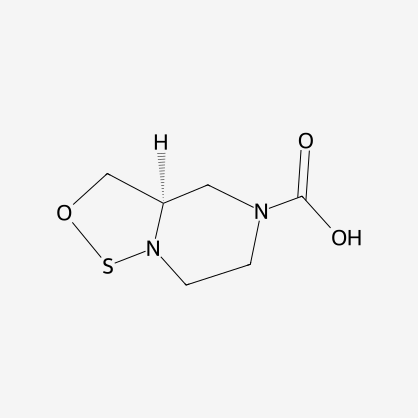 O=C(O)N1CCN2SOC[C@H]2C1